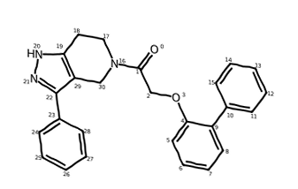 O=C(COc1ccccc1-c1ccccc1)N1CCc2[nH]nc(-c3ccccc3)c2C1